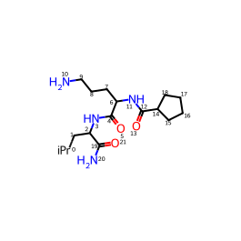 CC(C)CC(NC(=O)C(CCCN)NC(=O)C1CCCC1)C(N)=O